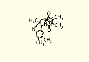 Cc1ccc(C2N3C(=O)[C@@]4(C)SS[C@@]3(C[C@]2(C)C#N)C(=O)N4C)cc1C